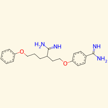 N=C(N)c1ccc(OCCC(CCCOc2ccccc2)C(=N)N)cc1